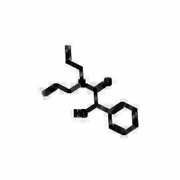 C=CCN(CC=C)C(=O)C(O)c1ccccc1